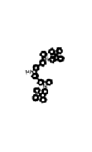 C1=CCC(C2(c3ccccc3)c3ccccc3-c3ccc(-n4c5ccccc5c5cc(-c6ccc7[nH]c8ccc(-c9ccc%10c(c9)c9ccccc9n%10-c9ccc%10c(c9)C(c9ccccc9)(c9ccccc9)c9ccccc9-%10)cc8c7c6)ccc54)cc32)C=C1